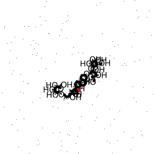 C[C@@H](CC[C@@]1(O)O[C@H]2C[C@H]3[C@@H]4CC[C@@H]5C[C@@H](O[C@@H]6O[C@H](CO)[C@H](O)[C@H](O)[C@H]6O[C@@H]6O[C@H](CO)[C@@H](O)[C@H](O)[C@H]6O)CC[C@]5(C)[C@H]4CC[C@]3(C)[C@H]2[C@@H]1C)CO[C@@H]1O[C@H](CO)[C@@H](O)[C@H](O)[C@H]1O